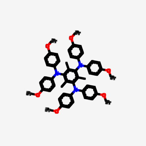 Cc1c(N(c2ccc(OC(C)C)cc2)c2ccc(OC(C)C)cc2)c(C)c(N(c2ccc(OC(C)C)cc2)c2ccc(OC(C)C)cc2)c(C)c1N(c1ccc(OC(C)C)cc1)c1ccc(OC(C)C)cc1